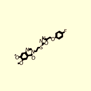 COc1cc2ncn(CCSc3nnc(COc4ccc(F)cc4)o3)c(=O)c2cc1OC